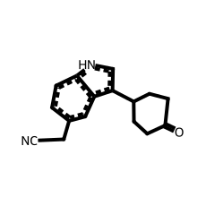 N#CCc1ccc2[nH]cc(C3CCC(=O)CC3)c2c1